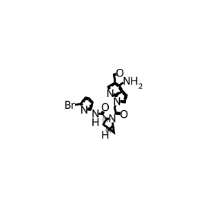 Nc1c(C=O)cnc2c1ccn2CC(=O)N1C2C[C@@H]2C[C@H]1C(=O)Nc1cccc(Br)n1